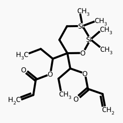 C=CC(=O)OC(CC)C1(C(CC)OC(=O)C=C)CC[Si](C)(C)[Si](C)(C)O1